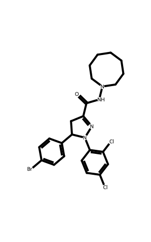 O=C(NN1CCCCCCC1)C1=NN(c2ccc(Cl)cc2Cl)C(c2ccc(Br)cc2)C1